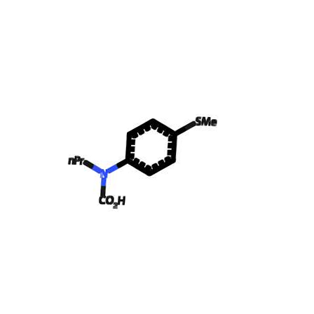 CCCN(C(=O)O)c1ccc(SC)cc1